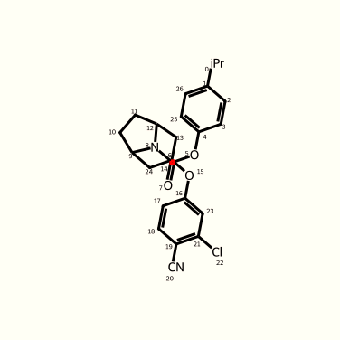 CC(C)c1ccc(OC(=O)N2C3CCC2CC(Oc2ccc(C#N)c(Cl)c2)C3)cc1